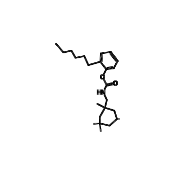 CCCCCCc1ccccc1OC(=O)NCC1(C)C[CH]CC(C)(C)C1